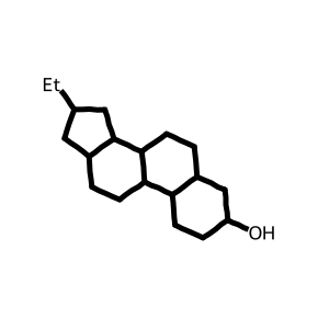 CCC1CC2CCC3C4CCC(O)CC4CCC3C2C1